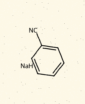 N#Cc1ccccc1.[NaH]